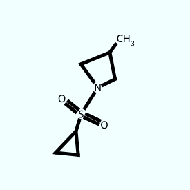 CC1CN(S(=O)(=O)C2CC2)C1